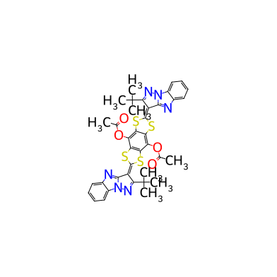 CC(=O)Oc1c2c(c(OC(C)=O)c3c1SC(=c1c(C(C)(C)C)nn4c1nc1ccccc14)S3)SC(=c1c(C(C)(C)C)nn3c1nc1ccccc13)S2